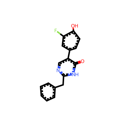 O=c1[nH]c(Cc2ccccc2)ncc1-c1ccc(O)c(F)c1